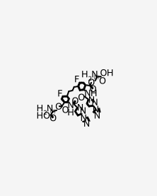 N[C@@H](COC(=O)c1cc(F)c(CCCc2cc(NC(=O)c3ccc(-n4ccnc4)nn3)c(C(=O)OC[C@H](N)C(=O)O)cc2F)cc1NC(=O)c1ccc(-n2ccnc2)nn1)C(=O)O